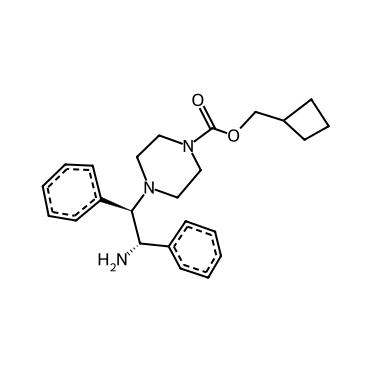 N[C@@H](c1ccccc1)[C@@H](c1ccccc1)N1CCN(C(=O)OCC2CCC2)CC1